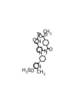 COC(=O)C1CCC(C(=O)N(C[C@H]2CC[C@H](c3ccc(OC)c(C)n3)CC2)c2cc(-c3coc(C4CC4)n3)ccn2)CC1